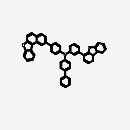 C1=CC(c2cccc(N(c3ccc(-c4ccccc4)cc3)c3ccc(-c4ccc5ccc6oc7ccccc7c6c5c4)cc3)c2)=C2Sc3ccccc3C2C1